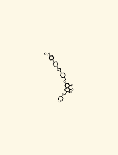 O=c1[nH]c(CSC2CCOCC2)nc2cc(OCC3CCN(C4CN(C5CCN(c6ccc([N+](=O)[O-])cc6)CC5)C4)CC3)cc(F)c12